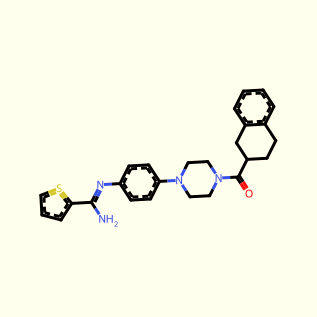 N/C(=N\c1ccc(N2CCN(C(=O)C3CCc4ccccc4C3)CC2)cc1)c1cccs1